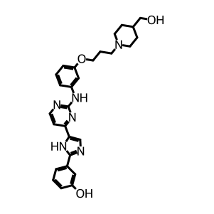 OCC1CCN(CCCOc2cccc(Nc3nccc(-c4cnc(-c5cccc(O)c5)[nH]4)n3)c2)CC1